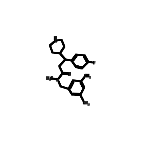 Cc1cc(C)cc(CN(C)C(=O)CC(c2ccc(F)cc2)C2CCNCC2)c1